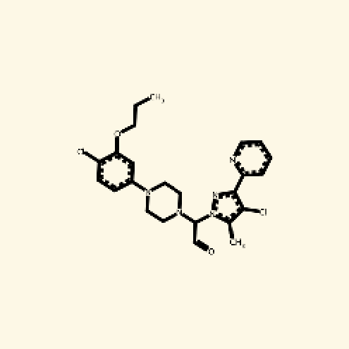 CCCOc1cc(N2CCN(C(C=O)n3nc(-c4ccccn4)c(Cl)c3C)CC2)ccc1Cl